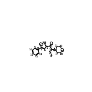 CSC(C(=O)c1cc(-c2ccccc2)on1)N1CCOCC1